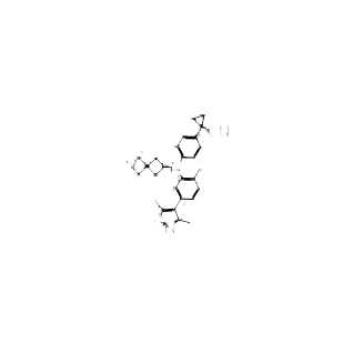 Cc1ccc(-c2c(C)noc2C)cc1N(c1ccc(C2(C#N)CC2)cc1)C1CC2(CNC2)C1